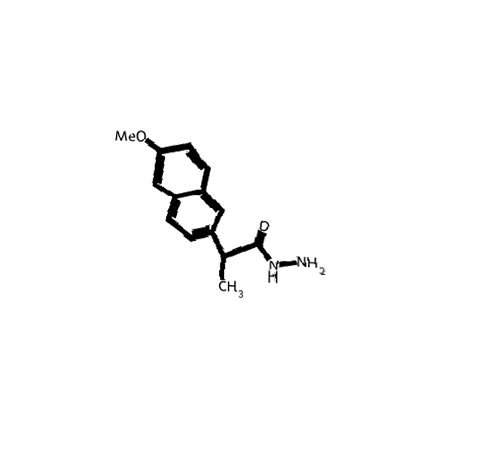 COc1ccc2cc(C(C)C(=O)NN)ccc2c1